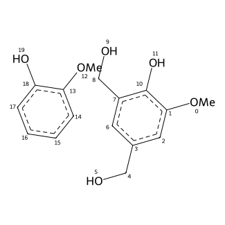 COc1cc(CO)cc(CO)c1O.COc1ccccc1O